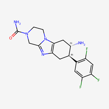 NC(=O)N1CCn2c(nc3c2C[C@H](N)[C@@H](c2cc(F)c(F)cc2F)C3)C1